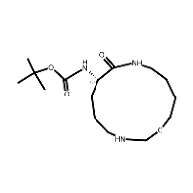 CC(C)(C)OC(=O)N[C@H]1CCCNCCCCCCNC1=O